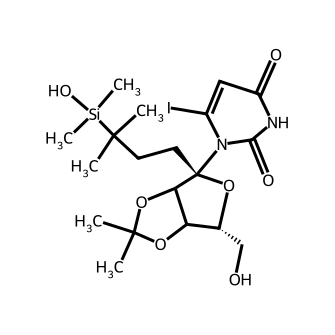 CC1(C)OC2C(O1)[C@](CCC(C)(C)[Si](C)(C)O)(n1c(I)cc(=O)[nH]c1=O)O[C@@H]2CO